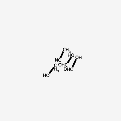 CC#N.CO.O=CO.O=CO